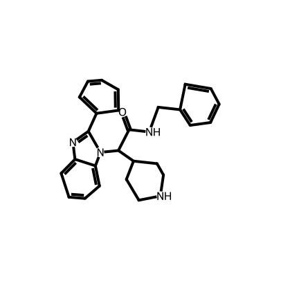 O=C(NCc1ccccc1)C(C1CCNCC1)n1c(-c2ccccc2)nc2ccccc21